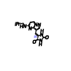 CC(C)CNc1ccn2ncc(/C=C3\NC(=O)NC3=O)c2n1